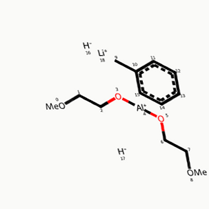 COCC[O][Al+][O]CCOC.Cc1ccccc1.[H-].[H-].[Li+]